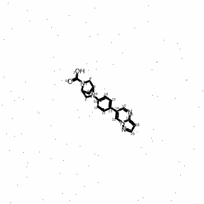 O=C(O)N1CC2CC1CN2c1ccc(-c2cnc3ccnn3c2)cc1